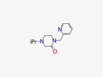 CC(C)N1CCN(Cc2ccccn2)C(=O)C1